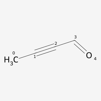 CC#CC=O